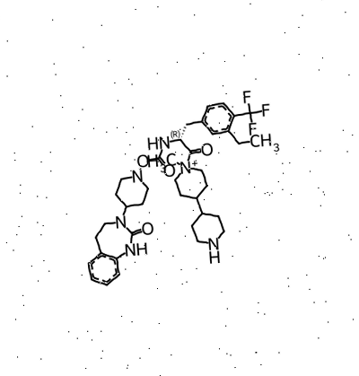 CCc1cc(C[C@@H](NC(=O)ON2CCC(N3CCc4ccccc4NC3=O)CC2)C(=O)[N+]2(C)CCC(C3CCNCC3)CC2)ccc1C(F)(F)F